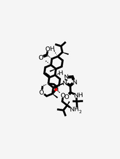 CC(C)[C@@H](C)[C@@]1(C)CC[C@]2(C)[C@H]3CC[C@@H]4[C@@]5(COC[C@@]4(C)[C@@H](OC[C@](C)(N)C(C)C)[C@H](n4ncnc4C(=O)NC(C)(C)C)C5)C3=CC[C@@]2(C)[C@@H]1C(=O)O